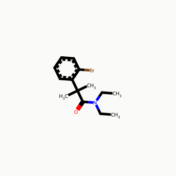 CCN(CC)C(=O)C(C)(C)c1ccccc1Br